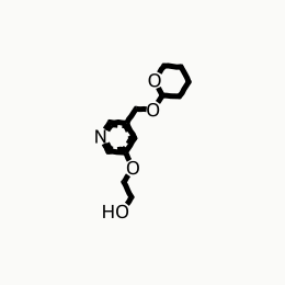 OCCOc1cncc(COC2CCCCO2)c1